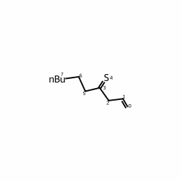 C=CCC(=S)CCCCCC